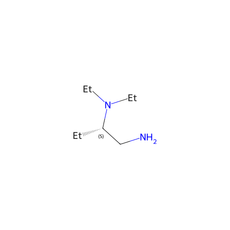 CC[C@@H](CN)N(CC)CC